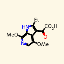 CCc1[nH]c2c(OC)ncc(OC)c2c1C(=O)C(=O)O